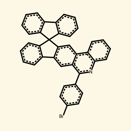 Brc1ccc(-c2nc3ccccc3c3cc4c(cc23)-c2ccccc2C42c3ccccc3-c3ccccc32)cc1